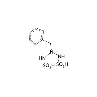 O=S(=O)(O)NN(Cc1ccccc1)NS(=O)(=O)O